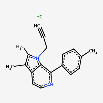 C#CCn1c(C)c(C)c2ccnc(-c3ccc(C)cc3)c21.Cl